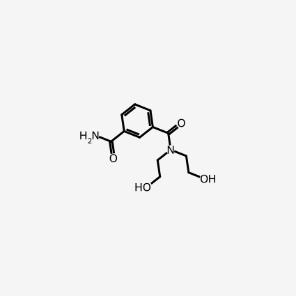 NC(=O)c1cccc(C(=O)N(CCO)CCO)c1